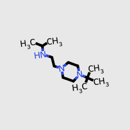 CC(C)NCCN1CCN(C(C)(C)C)CC1